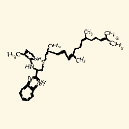 CC(C)=CCCC(C)=CCCC(C)=CCCC(C)=CCSCC(Nc1[nH]ccc1C)c1nc2ccccc2[nH]1